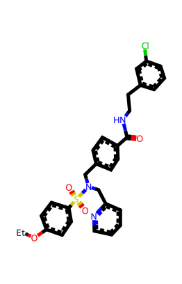 CCOc1ccc(S(=O)(=O)N(Cc2ccc(C(=O)NCCc3cccc(Cl)c3)cc2)Cc2ccccn2)cc1